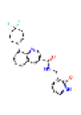 O=C(NCc1ccc[nH]c1=O)c1cnc2c(C3=CCC(F)(F)CC3)cccc2c1